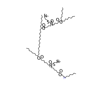 CCCCCC/C=C\COC(=O)CCCCCN(CCCCCC(=O)OC(CCCCCCC)CCCCCCCCCCCCCCC(CCCCCCC)OC(=O)CCCN(CCCC(=O)OC(CCCCCCC)CCCCCCC)C(=O)SCCCN(C)C)C(=O)SCCN(C)C